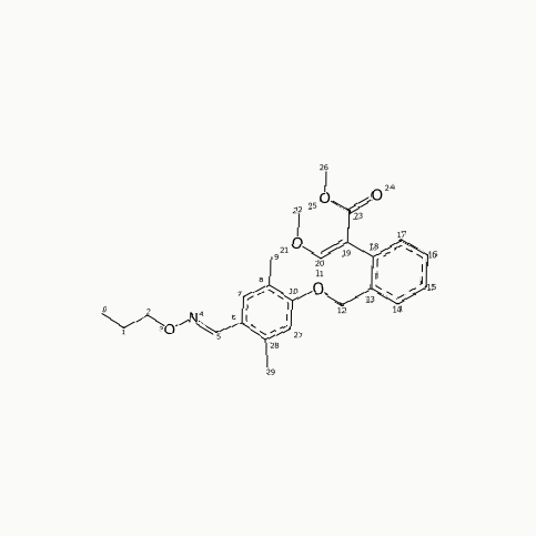 CCCON=Cc1cc(C)c(OCc2ccccc2C(=COC)C(=O)OC)cc1C